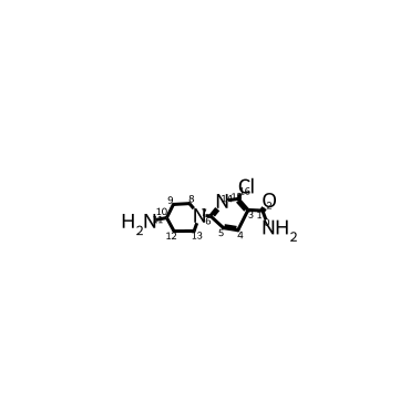 NC(=O)c1ccc(N2CCC(N)CC2)nc1Cl